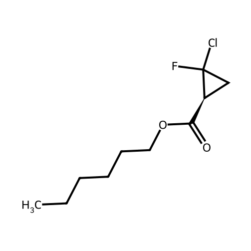 CCCCCCOC(=O)[C@@H]1CC1(F)Cl